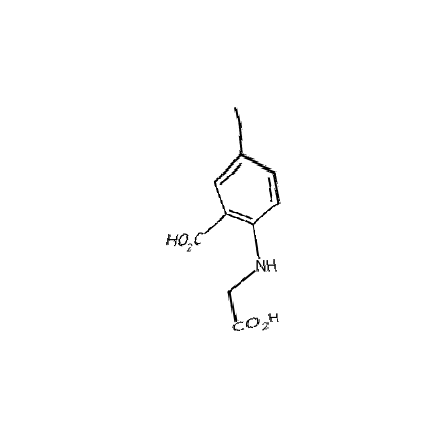 Cc1ccc(NCC(=O)O)c(C(=O)O)c1